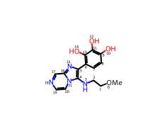 COCCNc1c(-c2ccc(O)c(O)c2O)nc2cnccn12